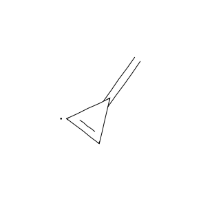 C=C1[C]=C1